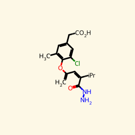 C=C(/C=C(\C(=O)NN)C(C)C)Oc1c(C)cc(CC(=O)O)cc1Cl